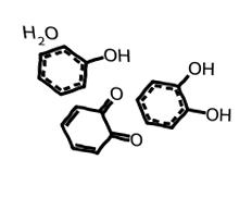 O.O=C1C=CC=CC1=O.Oc1ccccc1.Oc1ccccc1O